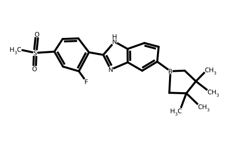 CC1(C)CB(c2ccc3[nH]c(-c4ccc(S(C)(=O)=O)cc4F)nc3c2)CC1(C)C